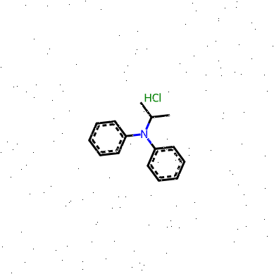 CC(C)N(c1ccccc1)c1ccccc1.Cl